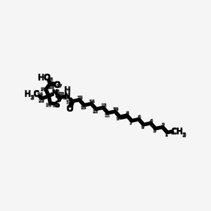 CCCCCCCCC=CCCCCCCCC(=O)NC1=NC(CC)(CC(=O)O)CS1